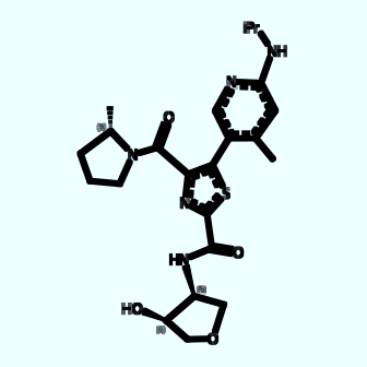 Cc1cc(NC(C)C)ncc1-c1sc(C(=O)N[C@H]2COC[C@H]2O)nc1C(=O)N1CCC[C@@H]1C